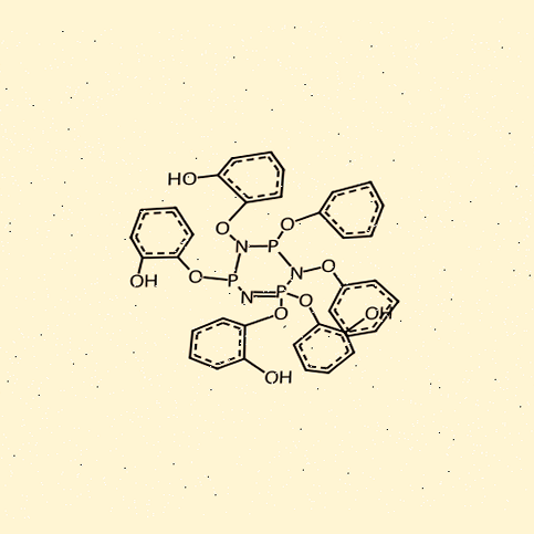 Oc1ccccc1ON1P(Oc2ccccc2O)N=P(Oc2ccccc2O)(Oc2ccccc2O)N(Oc2ccccc2)P1Oc1ccccc1